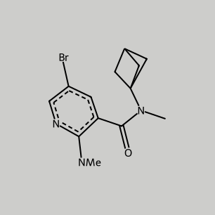 CNc1ncc(Br)cc1C(=O)N(C)C12CC(C1)C2